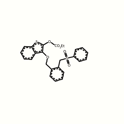 CCOC(=O)Oc1sc2ccccc2c1OCc1ccccc1CS(=O)(=O)c1ccccc1